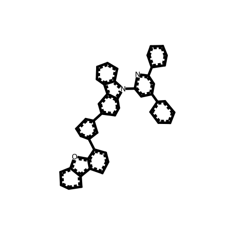 c1ccc(-c2cc(-c3ccccc3)nc(-n3c4ccccc4c4cc(-c5cccc(-c6cccc7c6oc6ccccc67)c5)ccc43)c2)cc1